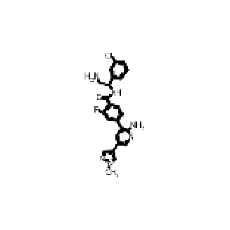 Cn1cc(-c2cnc(N)c(-c3ccc(C(=O)NC(CN)c4cccc(Cl)c4)c(F)c3)c2)cn1